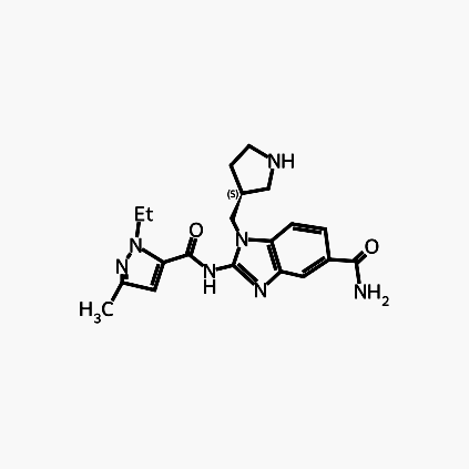 CCn1nc(C)cc1C(=O)Nc1nc2cc(C(N)=O)ccc2n1C[C@H]1CCNC1